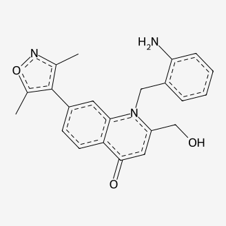 Cc1noc(C)c1-c1ccc2c(=O)cc(CO)n(Cc3ccccc3N)c2c1